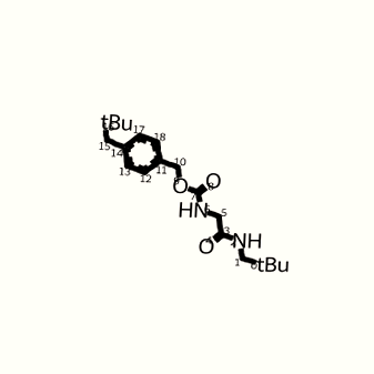 CC(C)(C)CNC(=O)CNC(=O)OCc1ccc(CC(C)(C)C)cc1